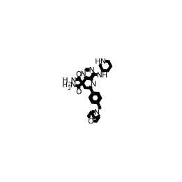 NC(=O)C1(C(N)=O)CC(c2ccc(CN3C4COCC3C4)cc2)=Nc2c(N[C@H]3CCCNC3)ncnc21